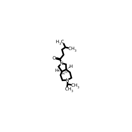 CC(C)CCC(=O)N1C[C@H]2CCN(C(C)C)CC[C@H]2C1